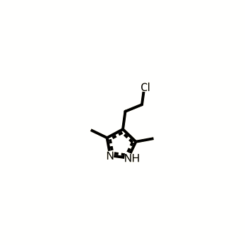 Cc1n[nH]c(C)c1CCCl